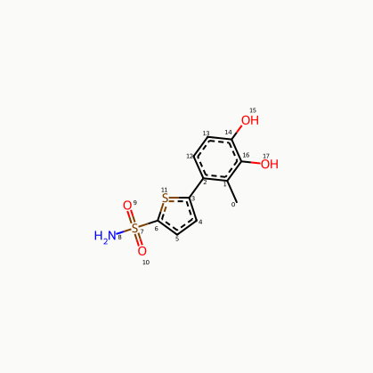 Cc1c(-c2ccc(S(N)(=O)=O)s2)ccc(O)c1O